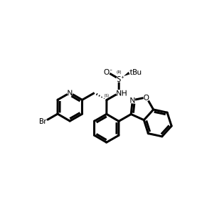 CC(C)(C)[S@+]([O-])N[C@@H](Cc1ccc(Br)cn1)c1ccccc1-c1noc2ccccc12